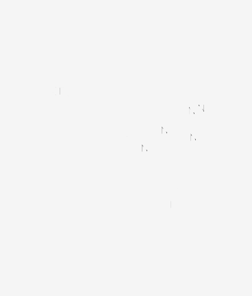 CC(C)(CCc1cccc2c1CCCCN2c1nc2nncn2c2ccc(F)c(F)c12)C(F)(F)F